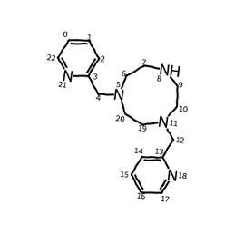 c1ccc(CN2CCNCCN(Cc3ccccn3)CC2)nc1